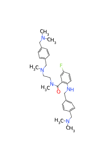 CN(C)Cc1ccc(CNc2ccc(F)cc2C(=O)N(C)CCN(C)Cc2ccc(CN(C)C)cc2)cc1